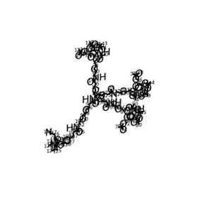 CC(=O)NC1[C@H](OCCOCCNC(=O)CCOCC(COCCC(=O)NCCOCCO[C@@H]2O[C@H](COC(C)=O)[C@@H](OC(C)=O)[C@@H](OC(C)=O)[C@@H]2NC(C)=O)(COCCC(=O)NCCOCCO[C@H]2O[C@H](COC(C)=O)[C@@H](OC(C)=O)[C@@H](OC(C)=O)[C@@H]2NC(C)=O)NC(=O)CCOCCOCCNC(=O)CCc2ccc(OP(OCCC#N)N(C(C)C)C(C)C)cc2)O[C@H](COC(C)=O)[C@H](OC(C)=O)[C@@H]1OC(C)=O